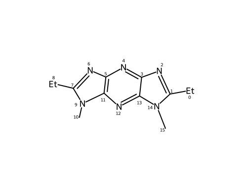 CCc1nc2nc3nc(CC)n(C)c3nc2n1C